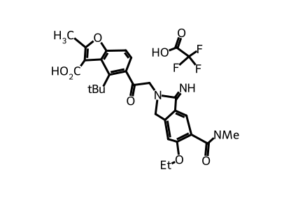 CCOc1cc2c(cc1C(=O)NC)C(=N)N(CC(=O)c1ccc3oc(C)c(C(=O)O)c3c1C(C)(C)C)C2.O=C(O)C(F)(F)F